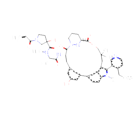 C=CC(=O)N1CCC(O)(C(=O)N(C)[C@H](C(=O)N[C@H]2Cc3cc(O)cc(c3)-c3ccc4c(c3)c(c(-c3cnccc3COC)n4CC)CC(C)(C)COC(=O)[C@@H]3CCCN(N3)C2=O)C(C)C)C1